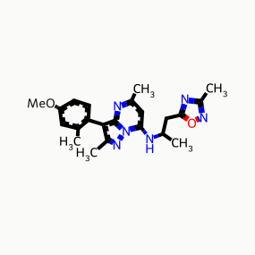 COc1ccc(-c2c(C)nn3c(NC(C)Cc4nc(C)no4)cc(C)nc23)c(C)c1